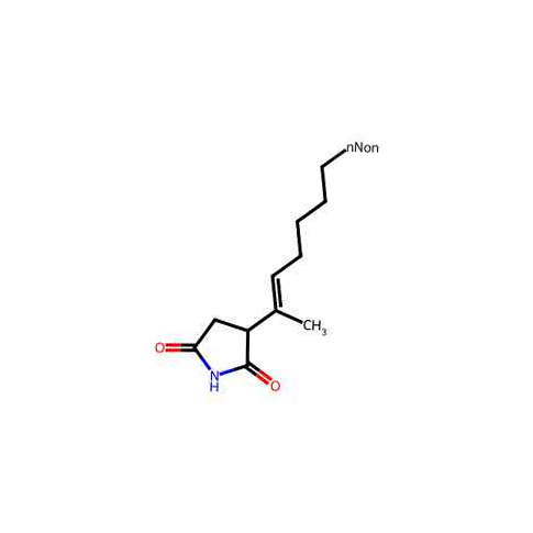 CCCCCCCCCCCCCC=C(C)C1CC(=O)NC1=O